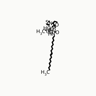 CCCCCCCCC=CCCCCCCCCNC(=O)OCC1(COP(=O)(O)OCC)OCCC1[n+]1ccsc1